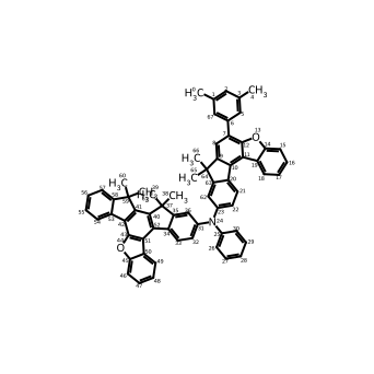 Cc1cc(C)cc(-c2cc3c(c4c2oc2ccccc24)-c2ccc(N(c4ccccc4)c4ccc5c(c4)C(C)(C)c4c6c(c7oc8ccccc8c7c4-5)-c4ccccc4C6(C)C)cc2C3(C)C)c1